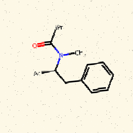 CC(=O)[C@H](Cc1ccccc1)N(C)C(=O)C(C)C